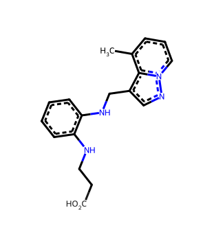 Cc1cccn2ncc(CNc3ccccc3NCCC(=O)O)c12